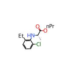 CCCOC(=O)[C@H](C)Nc1c(Cl)cccc1CC